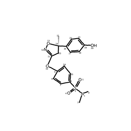 CN(C)S(=O)(=O)c1ccc(OC2=NO[C@@](C)(c3ccc(O)cc3)C2)cc1